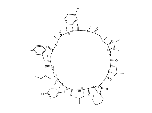 CCCC[C@@H]1NC(=O)[C@H](Cc2cccc(I)c2)NC(=O)CN(C)C(=O)[C@H](Cc2ccc(Cl)cc2)N(C)C(=O)CN(C)C(=O)CN(C)C(=O)[C@H]([C@@H](C)CC)NC(=O)[C@H](CC(C)C)N(C)C(=O)C[C@@H](C(=O)N2CCCCC2)N(C)C(=O)[C@H](CC(C)C)NC(=O)[C@H](Cc2ccc(Cl)cc2)N(C)C1=O